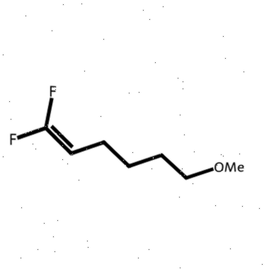 [CH2]OCCCCC=C(F)F